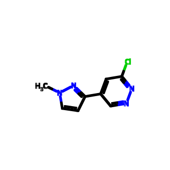 Cn1ccc(-c2cnnc(Cl)c2)n1